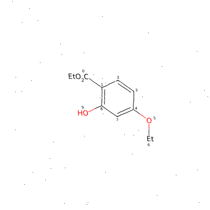 CCOC(=O)c1ccc(OCC)cc1O